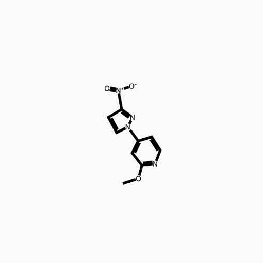 COc1cc(-n2ccc([N+](=O)[O-])n2)ccn1